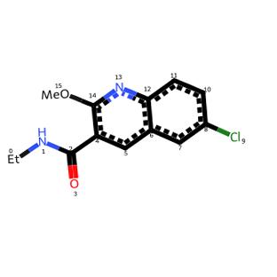 [CH2]CNC(=O)c1cc2cc(Cl)ccc2nc1OC